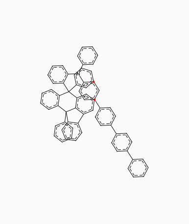 c1ccc(-c2ccc(-c3ccc(-c4ccc(N(c5ccccc5)c5ccccc5C5(c6ccccc6)c6ccccc6C6(c7ccccc7)c7ccccc7-c7cccc5c76)cc4)cc3)cc2)cc1